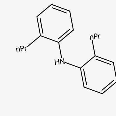 CCCc1ccccc1Nc1ccccc1CCC